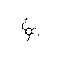 COc1cc(/C=C\CO)cc(OC)c1O